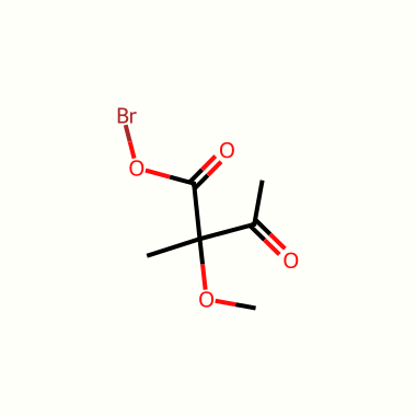 COC(C)(C(C)=O)C(=O)OBr